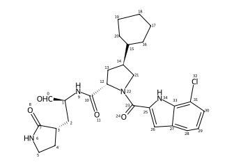 O=C[C@H](C[C@@H]1CCNC1=O)NC(=O)[C@@H]1C[C@@H](C2CCCCC2)CN1C(=O)c1cc2cccc(Cl)c2[nH]1